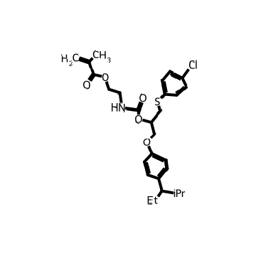 C=C(C)C(=O)OCCNC(=O)OC(COc1ccc(C(CC)C(C)C)cc1)CSc1ccc(Cl)cc1